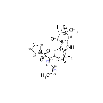 C=C(Cc1c(C)[nH]c2c1C(=O)CC(C)(C)C2)/C(=C\C=C/C)S(=O)(=O)N1CCCC1